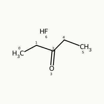 CCC(=O)CC.F